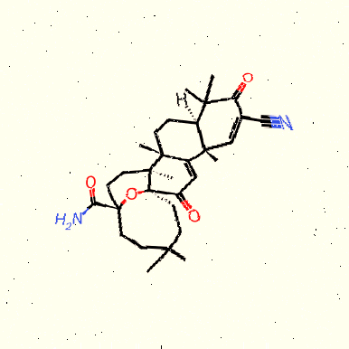 CC1(C)CC[C@]2(C(N)=O)CC[C@@]3(C)[C@]4(C)CC[C@H]5C(C)(C)C(=O)C(C#N)=C[C@]5(C)C4=CC(=O)[C@@]3(CC1)O2